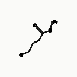 CCCOC(=O)CCC[S]